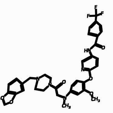 COc1cc(N(C)CC(=O)N2CCN(Cc3ccc4c(c3)OCO4)CC2)ccc1Oc1ccc(NC(=O)c2ccc(C(F)(F)F)cc2)cn1